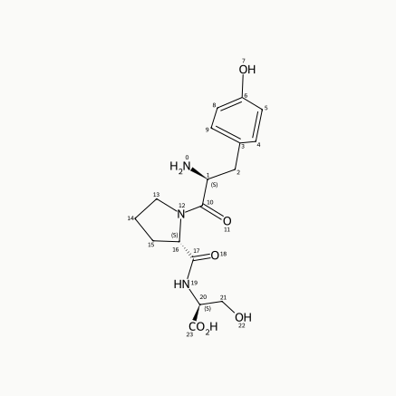 N[C@@H](Cc1ccc(O)cc1)C(=O)N1CCC[C@H]1C(=O)N[C@@H](CO)C(=O)O